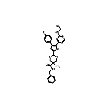 CC1(C(=O)NCc2ccccc2)COC(c2nc(-c3ccc(F)cc3)c(-c3ccnc(NCC#N)n3)[nH]2)OC1